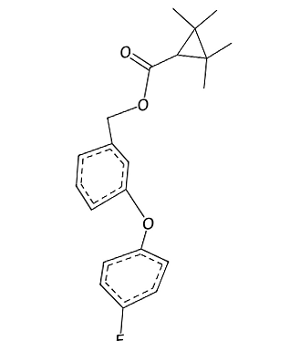 CC1(C)C(C(=O)OCc2cccc(Oc3ccc(F)cc3)c2)C1(C)C